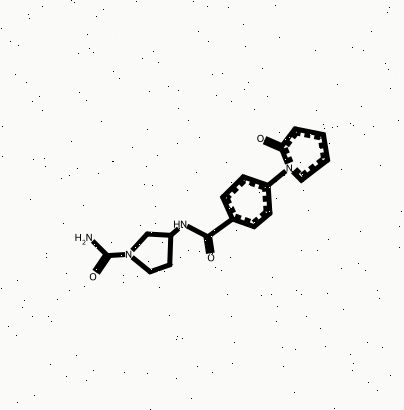 NC(=O)N1C[CH]C(NC(=O)c2ccc(-n3ccccc3=O)cc2)C1